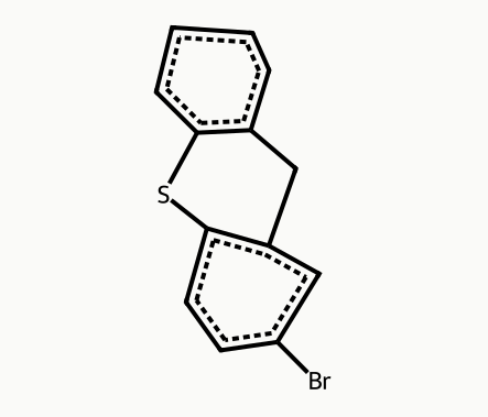 Brc1ccc2c(c1)Cc1ccccc1S2